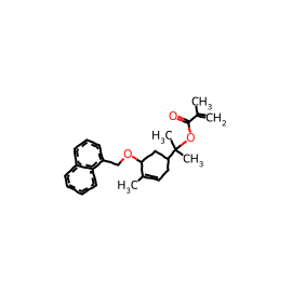 C=C(C)C(=O)OC(C)(C)C1CC=C(C)C(OCc2cccc3ccccc23)C1